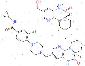 O=C(NC1CC1)c1ccc(N2CCN(Cc3cnc4c(c3)NC(=O)[C@@H]3CCCCN43)CC2)c(Cl)c1.O=C1Nc2cc(CO)cnc2N2CCCC[C@@H]12